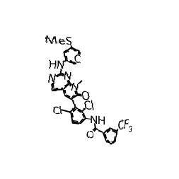 CSc1cccc(Nc2ncc3cc(-c4c(Cl)ccc(NC(=O)c5cccc(C(F)(F)F)c5)c4Cl)c(=O)n(C)c3n2)c1